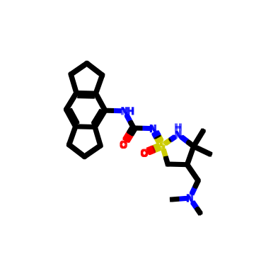 CN(C)CC1CS(=O)(=NC(=O)Nc2c3c(cc4c2CCC4)CCC3)NC1(C)C